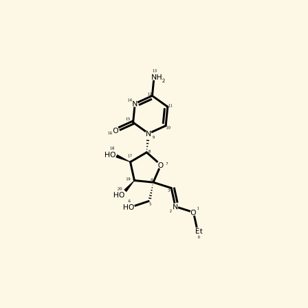 CCO/N=C/[C@]1(CO)O[C@@H](n2ccc(N)nc2=O)[C@H](O)[C@@H]1O